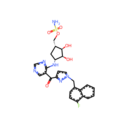 NS(=O)(=O)OC[C@H]1C[C@@H](Nc2ncncc2C(=O)c2ccn(Cc3ccc(F)c4ccccc34)n2)[C@H](O)[C@@H]1O